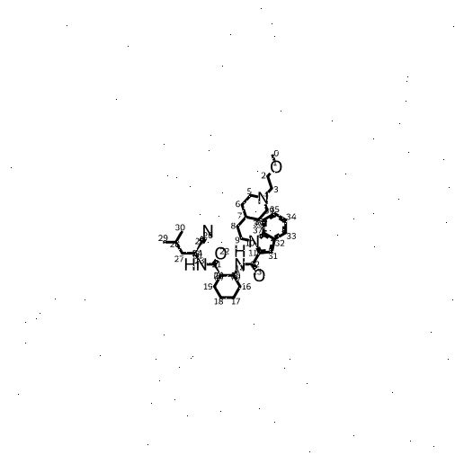 COCCN1CCC(CCn2c(C(=O)N[C@H]3CCCC[C@H]3C(=O)N[C@H](C#N)CC(C)C)cc3ccccc32)CC1